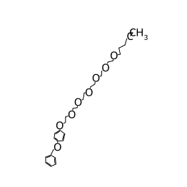 CCCCCCOCCOCCOCCOCCOCCOCCOc1ccc(OCc2ccccc2)cc1